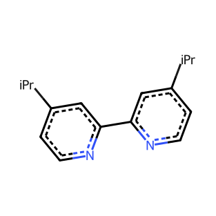 CC(C)c1ccnc(-c2cc(C(C)C)ccn2)c1